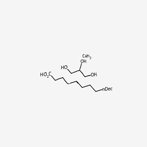 CCCCCCCCCCCCCCCCCC(=O)O.OCC(O)CO.[CaH2]